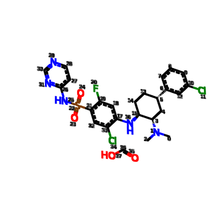 CN(C)[C@H]1C[C@@H](c2cccc(Cl)c2)CC[C@@H]1Nc1cc(F)c(S(=O)(=O)Nc2ccncn2)cc1Cl.O=CO